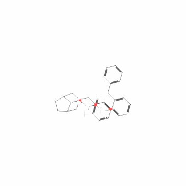 O=C(NCC1C2CCC1CN(Cc1ccccc1)C2)Oc1ccccc1Cc1ccccc1